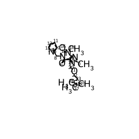 Cc1nc2c(c(=O)n(Cc3ccccn3)c(=O)n2C)n1COCC[Si](C)(C)C